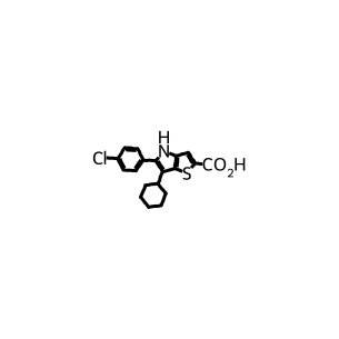 O=C(O)c1cc2[nH]c(-c3ccc(Cl)cc3)c(C3CCCCC3)c2s1